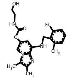 CCc1cccc(C)c1CNc1cc(OC(=O)NCCO)cn2c(C)c(C)nc12